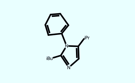 CCC(C)c1ncc(C(C)C)n1-c1ccccc1